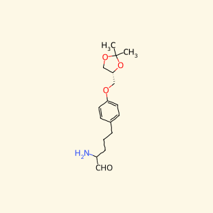 CC1(C)OC[C@@H](COc2ccc(CCCC(N)C=O)cc2)O1